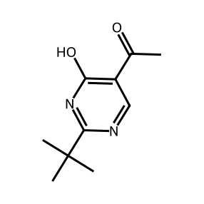 CC(=O)c1cnc(C(C)(C)C)nc1O